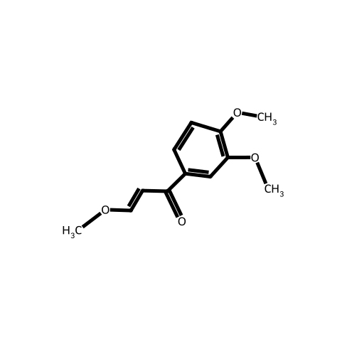 COC=CC(=O)c1ccc(OC)c(OC)c1